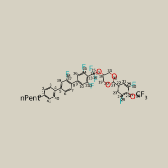 CCCCCc1ccc(-c2ccc(-c3cc(F)c(C(F)(F)OC4COC(c5cc(F)c(OC(F)(F)F)c(F)c5)OC4)c(F)c3)c(F)c2)cc1